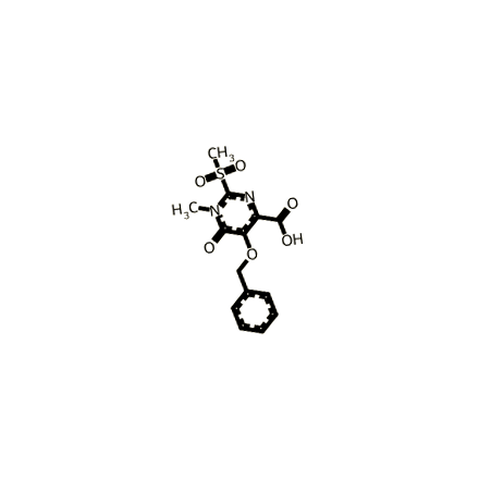 Cn1c(S(C)(=O)=O)nc(C(=O)O)c(OCc2ccccc2)c1=O